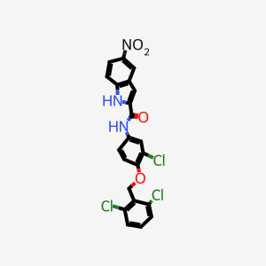 O=C(Nc1ccc(OCc2c(Cl)cccc2Cl)c(Cl)c1)c1cc2cc([N+](=O)[O-])ccc2[nH]1